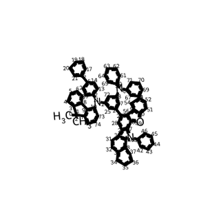 CC1(C)c2ccccc2-c2c(N(c3ccc(-c4ccccc4)cc3)c3cc(-c4cc5c6ccc7ccccc7c6n(-c6ccccc6)c5c5oc6ccccc6c45)cc(N(c4ccccc4)c4ccccc4)c3)cccc21